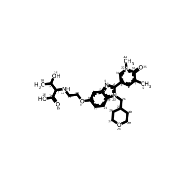 Cc1cc(-c2nc3cc(OCCNC(C(=O)O)C(C)O)ccc3n2CC2CCOCC2)cn(C)c1=O